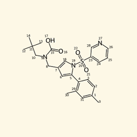 Cc1ccc(-c2cc(CN(CC(C)(C)C)C(=O)O)cn2S(=O)(=O)c2cccnc2)c(C)c1